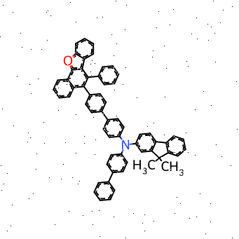 CC1(C)c2ccccc2-c2ccc(N(c3ccc(-c4ccccc4)cc3)c3ccc(-c4ccc(-c5c(-c6ccccc6)c6c7ccccc7oc6c6ccccc56)cc4)cc3)cc21